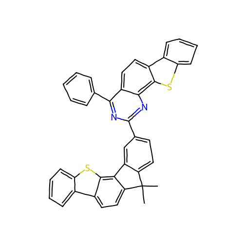 CC1(C)c2ccc(-c3nc(-c4ccccc4)c4ccc5c6ccccc6sc5c4n3)cc2-c2c1ccc1c2sc2ccccc21